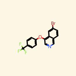 FC(F)(F)c1ccc(Oc2cncc3ccc(Br)cc23)cc1